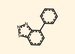 [c]1ccccc1-c1cccc2snnc12